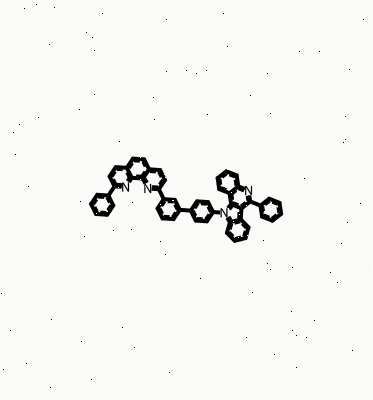 c1ccc(-c2ccc3ccc4ccc(-c5cccc(-c6ccc(-n7c8ccccc8c8c(-c9ccccc9)nc9ccccc9c87)cc6)c5)nc4c3n2)cc1